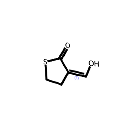 O=C1SCC/C1=C/O